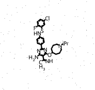 CC(=N)c1c(N)nc(-c2ccc(NSc3cc(Cl)ccc3F)cc2)nc1OC1CCCN(C(C)C)CCC1